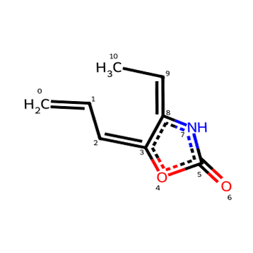 C=C/C=c1/oc(=O)[nH]/c1=C/C